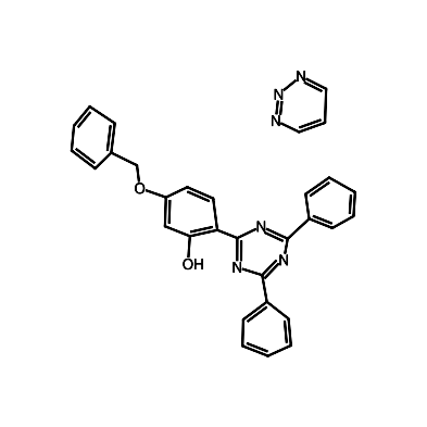 Oc1cc(OCc2ccccc2)ccc1-c1nc(-c2ccccc2)nc(-c2ccccc2)n1.c1cnnnc1